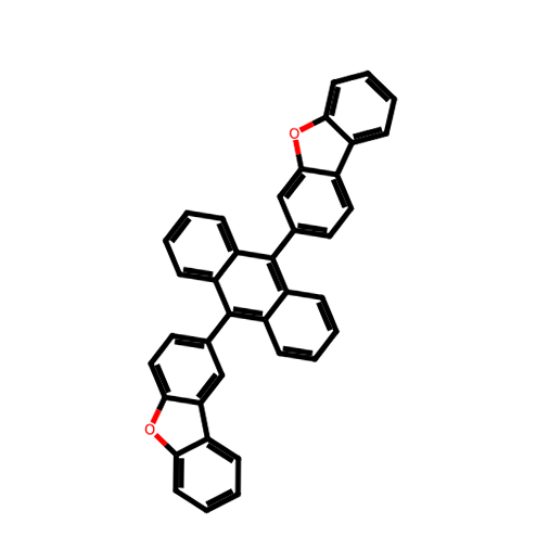 c1ccc2c(c1)oc1cc(-c3c4ccccc4c(-c4ccc5oc6ccccc6c5c4)c4ccccc34)ccc12